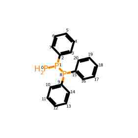 PP(c1ccccc1)P(c1ccccc1)c1ccccc1